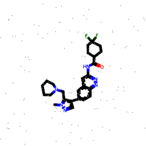 Cn1ncc(-c2ccc3nnc(NC(=O)C4CCC(F)(F)CC4)cc3c2)c1CN1CCCCC1